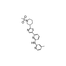 Cc1ccnc(Nc2cccc(-c3cnc(C4CCCN(S(C)(=O)=O)C4)s3)n2)c1